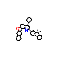 CC1(C)c2ccccc2-c2ccc(-c3cc(-c4ccccc4)c4ccc5oc6cc7ccccc7cc6c5c4n3)cc21